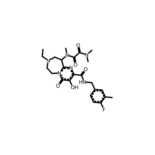 CCN1CCn2c(nc(C(=O)NCc3ccc(F)c(C)c3)c(O)c2=O)C(N(C)C(=O)C(=O)N(C)C)C1